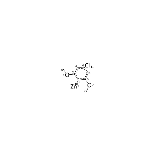 COc1cccc(OC)[c]1[Zn+].[Cl-]